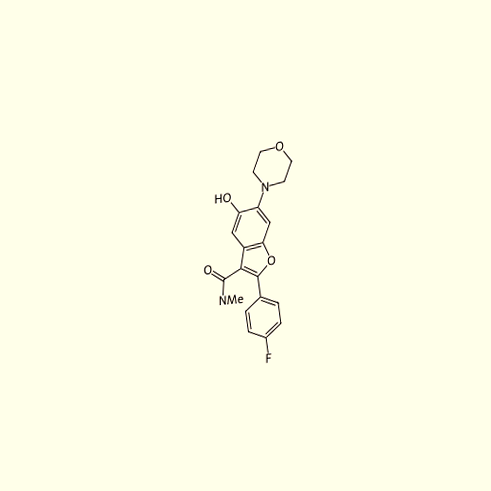 CNC(=O)c1c(-c2ccc(F)cc2)oc2cc(N3CCOCC3)c(O)cc12